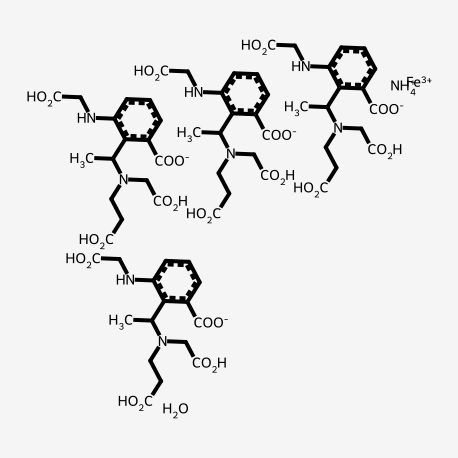 CC(c1c(NCC(=O)O)cccc1C(=O)[O-])N(CCC(=O)O)CC(=O)O.CC(c1c(NCC(=O)O)cccc1C(=O)[O-])N(CCC(=O)O)CC(=O)O.CC(c1c(NCC(=O)O)cccc1C(=O)[O-])N(CCC(=O)O)CC(=O)O.CC(c1c(NCC(=O)O)cccc1C(=O)[O-])N(CCC(=O)O)CC(=O)O.O.[Fe+3].[NH4+]